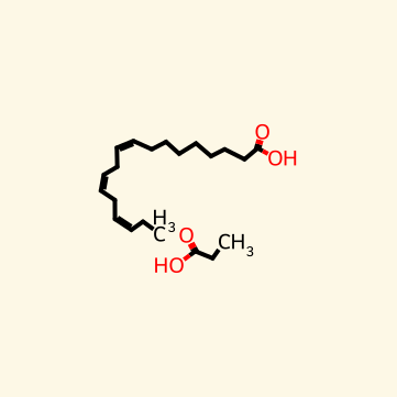 CC/C=C\C/C=C\C/C=C\CCCCCCCC(=O)O.CCC(=O)O